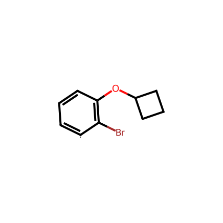 Brc1[c]cccc1OC1CCC1